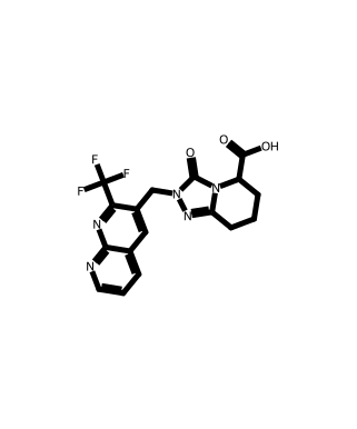 O=C(O)C1CCCc2nn(Cc3cc4cccnc4nc3C(F)(F)F)c(=O)n21